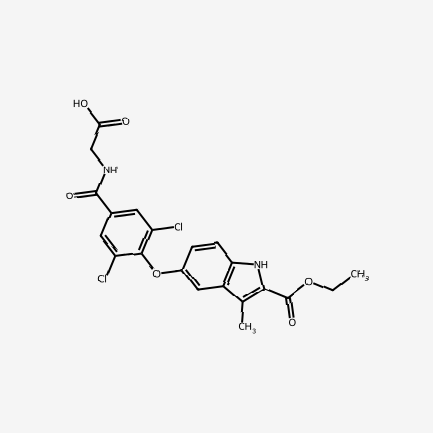 CCOC(=O)c1[nH]c2ccc(Oc3c(Cl)cc(C(=O)NCC(=O)O)cc3Cl)cc2c1C